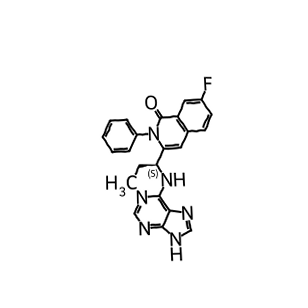 CC[C@H](Nc1ncnc2[nH]cnc12)c1cc2ccc(F)cc2c(=O)n1-c1ccccc1